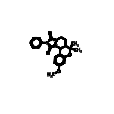 COc1ccc2c(c1)OC(C)(C)C1=CCn3c(=O)n(-c4ccccc4)c(=O)n3C12